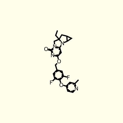 CCC12CC3CC3N1c1cc(OCc3cc(F)c(Oc4ccnc(C)c4)c(F)c3)nc(=O)n1C2